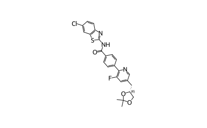 CC1(C)OC[C@@H](Cc2cnc(-c3ccc(C(=O)Nc4nc5ccc(Cl)cc5s4)cc3)c(F)c2)O1